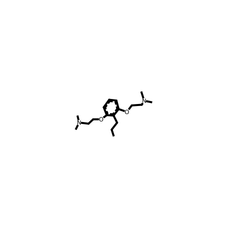 CCCc1c(OCCN(C)C)cccc1OCCN(C)C